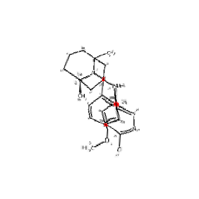 COc1ccc(CN2C3(C)CCC[C@@]2(C)CC(Nc2ccc(Cl)nn2)C3)cc1